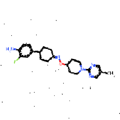 Cc1cnc(N2CCC(ON=C3CCC(c4ccc(N)c(F)c4)CC3)CC2)nc1